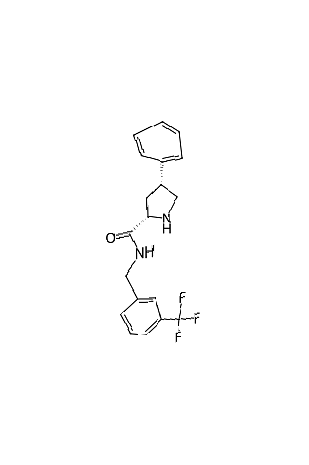 O=C(NCc1cccc(C(F)(F)F)c1)[C@@H]1C[C@H](c2ccccc2)CN1